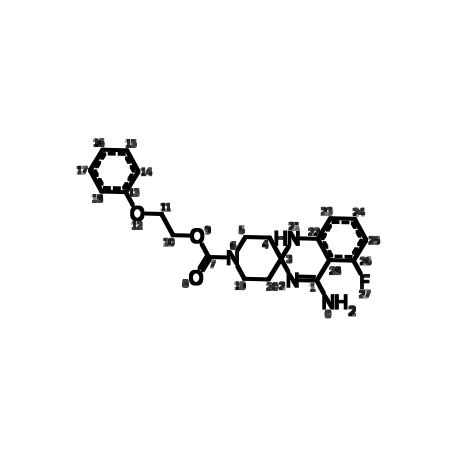 NC1=NC2(CCN(C(=O)OCCOc3ccccc3)CC2)Nc2cccc(F)c21